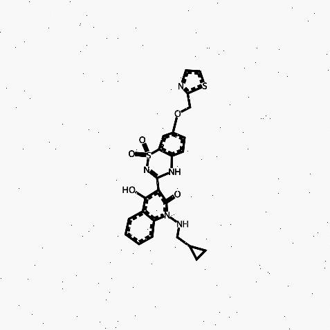 O=c1c(C2=NS(=O)(=O)c3cc(OCc4nccs4)ccc3N2)c(O)c2ccccc2n1NCC1CC1